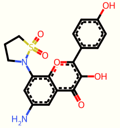 Nc1cc(N2CCCS2(=O)=O)c2oc(-c3ccc(O)cc3)c(O)c(=O)c2c1